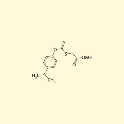 COC(=O)CSC(=S)Oc1ccc(N(C)C)cc1